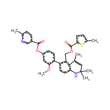 COc1cc(OC(=O)c2ccc(C)nc2)ccc1-c1ccc2c(c1COC(=O)c1ccc(C)s1)C(C)=CC(C)(C)N2